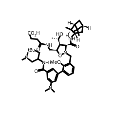 COc1c(CN2O[C@@H](CNC(=O)CCC(=O)O)[C@@H]([C@H](C)O)[C@H]2C(=O)N[C@H]2C[C@H]3C[C@@H]([C@@H]2C)C3(C)C)cccc1-c1cc(C(=O)NC(CN(C)C)CC(C)(C)C)cc(N(C)C)c1